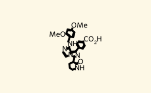 COc1ccc(CNc2nccn3c(C4CCCNC4=O)nc(-c4ccc(C(=O)O)cc4)c23)c(OC)c1